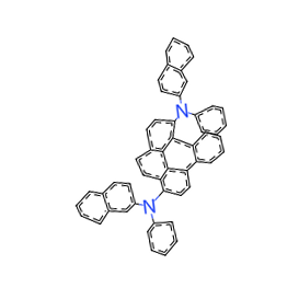 c1ccc(N(c2ccc3ccccc3c2)c2ccc3c4ccccc4c4c(N(c5ccccc5)c5ccc6ccccc6c5)ccc5ccc2c3c54)cc1